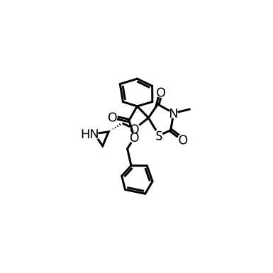 CN1C(=O)SC(OC[C@@H]2CN2)(C2(C(=O)OCc3ccccc3)C=CC=CC2)C1=O